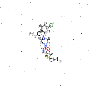 Cc1ccc(/C=C\C(=O)N2CCN(c3cc(Cl)ccc3C)CC2)s1